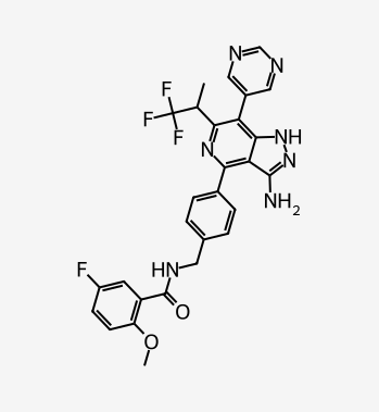 COc1ccc(F)cc1C(=O)NCc1ccc(-c2nc(C(C)C(F)(F)F)c(-c3cncnc3)c3[nH]nc(N)c23)cc1